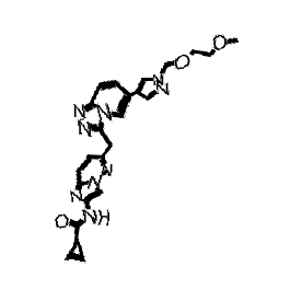 COCCOCn1cc(-c2ccc3nnc(Cc4ccc5nc(NC(=O)C6CC6)cn5n4)n3c2)cn1